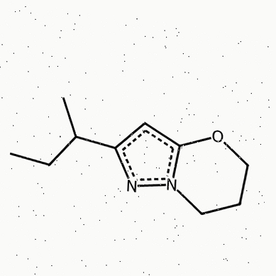 CCC(C)c1cc2n(n1)CCCO2